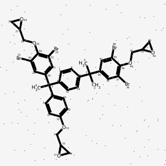 CC(C)(c1ccc(C(C)(c2ccc(OCC3CO3)cc2)c2cc(Br)c(OCC3CO3)c(Br)c2)cc1)c1cc(Br)c(OCC2CO2)c(Br)c1